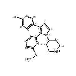 CSc1nccc(-c2c(-c3ccc(F)cc3)ncn2C2CCNCC2)n1